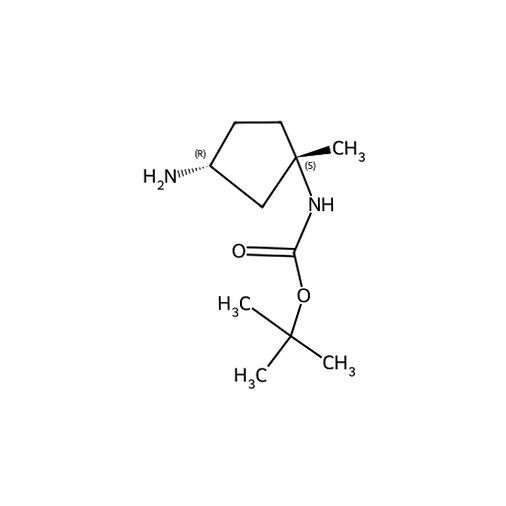 CC(C)(C)OC(=O)N[C@@]1(C)CC[C@@H](N)C1